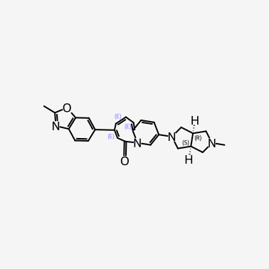 Cc1nc2ccc(C3=C\C(=O)N4C=C(N5C[C@H]6CN(C)C[C@H]6C5)C=C\C4=C/C=C/3)cc2o1